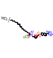 Cl.N=C(N)c1ccc2cc(OC(=O)c3ccc(CNC(=O)CCCCCCCCCCCCCCCCCCC(=O)O)o3)ccc2c1